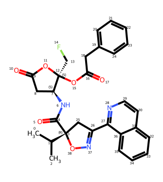 CC(C)[C@@]1(C(=O)N[C@H]2CC(=O)O[C@@]2(CF)OC(=O)Cc2ccccc2)CC(c2nccc3ccccc23)=NO1